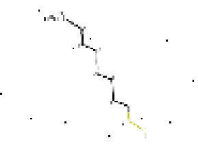 CCCCCCCCCCCCSS